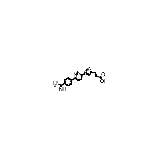 N=C(N)c1ccc(-c2ccc(-n3cnc(C=CC(=O)O)c3)nn2)cc1